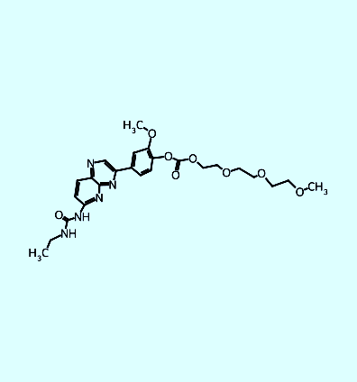 CCNC(=O)Nc1ccc2ncc(-c3ccc(OC(=O)OCCOCCOCCOC)c(OC)c3)nc2n1